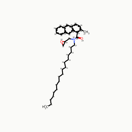 CCCCCCCCCCCCCCCCCCN(CC1CO1)C(=O)c1c(C)ccc2cc3ccccc3cc12